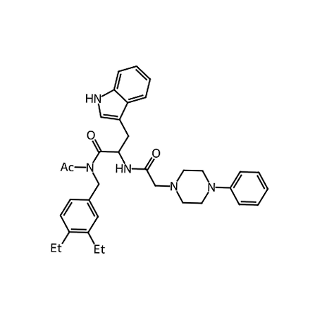 CCc1ccc(CN(C(C)=O)C(=O)C(Cc2c[nH]c3ccccc23)NC(=O)CN2CCN(c3ccccc3)CC2)cc1CC